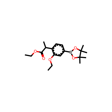 CCOC(=O)C(C)c1ccc(B2OC(C)(C)C(C)(C)O2)cc1OCC